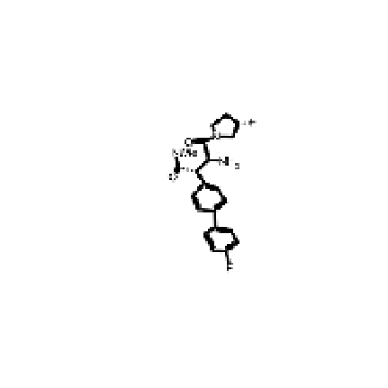 CNC(=O)[C@@H](c1ccc(-c2ccc(F)cc2)cc1)[C@H](N)C(=O)N1CC[C@H](F)C1